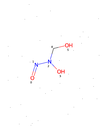 O=NN(O)CO